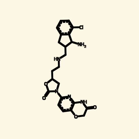 NC1c2c(Cl)cccc2CC1CNCCC1CN(c2ccc3c(n2)NC(=O)CO3)C(=O)O1